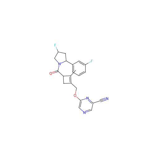 CC1=C(COc2cncc(C#N)n2)CC1C(=O)N1CC(F)CC1c1cccc(F)c1